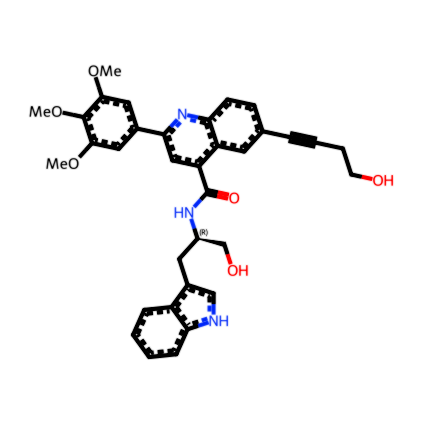 COc1cc(-c2cc(C(=O)N[C@@H](CO)Cc3c[nH]c4ccccc34)c3cc(C#CCCO)ccc3n2)cc(OC)c1OC